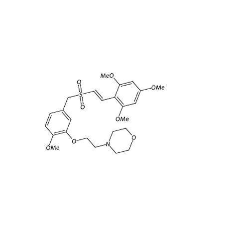 COc1cc(OC)c(/C=C/S(=O)(=O)Cc2ccc(OC)c(OCCN3CCOCC3)c2)c(OC)c1